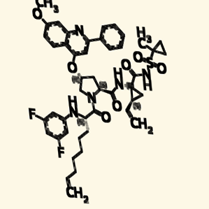 C=CCCCCC[C@H](Nc1cc(F)cc(F)c1)C(=O)N1C[C@H](Oc2cc(-c3ccccc3)nc3cc(OC)ccc23)C[C@H]1C(=O)N[C@]1(C(=O)NS(=O)(=O)C2(C)CC2)C[C@H]1C=C